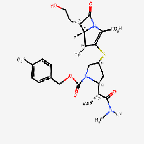 CS[C@@H](C(=O)N(C)C#N)[C@@H]1C[C@H](SC2=C(C(=O)O)N3C(=O)[C@@H](CCO)[C@H]3[C@H]2C)CN1C(=O)OCc1ccc([N+](=O)[O-])cc1